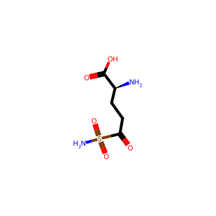 N[C@@H](CCC(=O)S(N)(=O)=O)C(=O)O